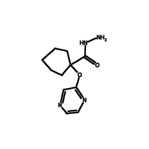 NNC(=O)C1(Oc2cnccn2)CCCCC1